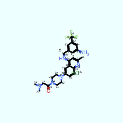 Cc1cc(N[C@H](C)c2cc(N)cc(C(F)(F)F)c2)c2cc(N3CCN(C(=O)CN(C)C)CC3)ccc2n1.Cl